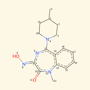 CC1CCN(c2nc(=NO)c(=O)n(C)c3ccccc23)CC1